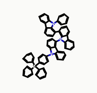 c1ccc(-n2c3ccccc3c3cccc(-c4cccc5c6ccccc6n(-c6cccc7c6c6ccccc6n7-c6ccc([Si](c7ccccc7)(c7ccccc7)c7ccccc7)cc6)c45)c32)cc1